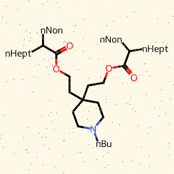 CCCCCCCCCC(CCCCCCC)C(=O)OCCC1(CCOC(=O)C(CCCCCCC)CCCCCCCCC)CCN(CCCC)CC1